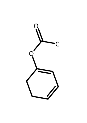 O=C(Cl)OC1=CC=CCC1